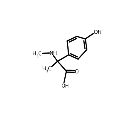 CNC(C)(C(=O)O)c1ccc(O)cc1